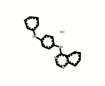 Cl.c1ccc(Nc2ccc(Nc3ncnc4ccccc34)cc2)cc1